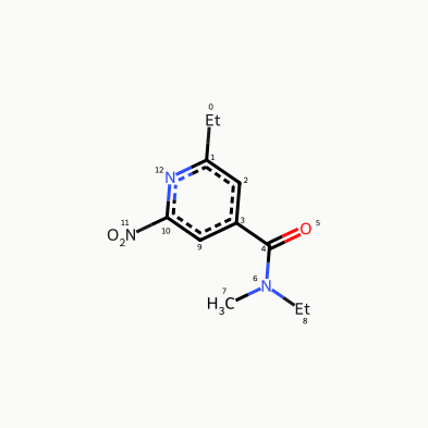 CCc1cc(C(=O)N(C)CC)cc([N+](=O)[O-])n1